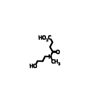 CN(CCCO)C(=O)CCC(=O)O